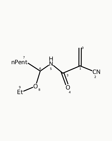 C=C(C#N)C(=O)NC(CCCCC)OCC